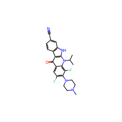 CC(C)n1c2[nH]c3cc(C#N)ccc3c2c(=O)c2cc(F)c(N3CCN(C)CC3)c(F)c21